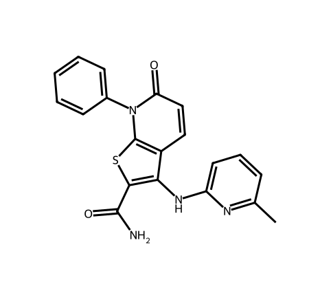 Cc1cccc(Nc2c(C(N)=O)sc3c2ccc(=O)n3-c2ccccc2)n1